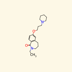 CCN1CCCc2cc(OCCCN3CCCCC3)ccc2C1=O